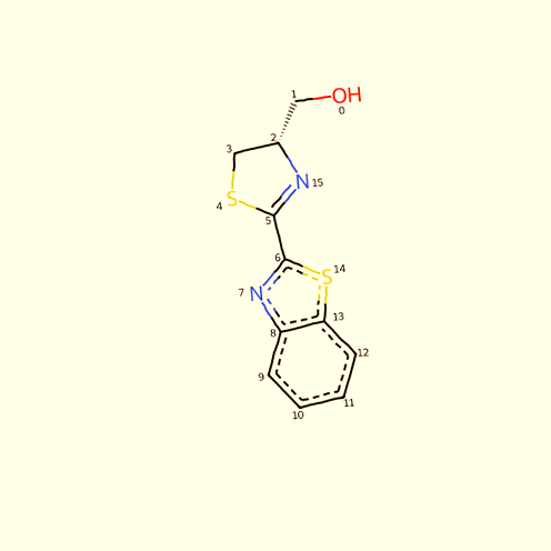 OC[C@H]1CSC(c2nc3ccccc3s2)=N1